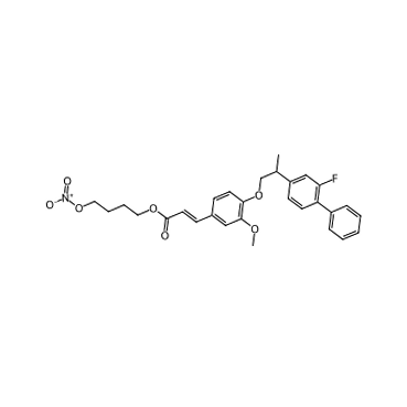 COc1cc(/C=C/C(=O)OCCCCO[N+](=O)[O-])ccc1OCC(C)c1ccc(-c2ccccc2)c(F)c1